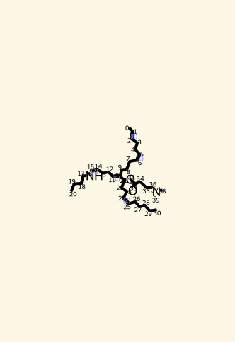 C/C=C/CC/C=C\CCC/C(=C\CC/C=C\NCCCC)C(CC/C=C\CCCCC)OC(=O)CCCN(C)C